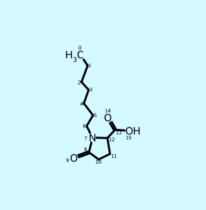 CCCCCCCN1C(=O)CCC1C(=O)O